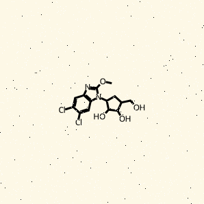 COc1nc2cc(Cl)c(Cl)cc2n1C1CC(CO)C(O)C1O